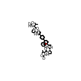 COC(=O)N[C@H](C(=O)N1CCC[C@H]1c1ncc(-c2ccc(-c3ccc(-c4cnc([C@H]5CCCN5C(=O)[C@H](NC(=O)OC)C(C)C)[nH]4)c4c3C3CCC4C(=O)O3)cc2)[nH]1)C(C)C